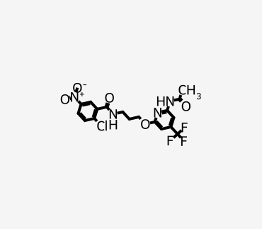 CC(=O)Nc1cc(C(F)(F)F)cc(OCCCNC(=O)c2cc([N+](=O)[O-])ccc2Cl)n1